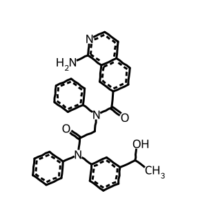 CC(O)c1cccc(N(C(=O)CN(C(=O)c2ccc3ccnc(N)c3c2)c2ccccc2)c2ccccc2)c1